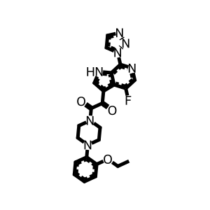 CCOc1ccccc1N1CCN(C(=O)C(=O)c2c[nH]c3c(-n4ccnn4)ncc(F)c23)CC1